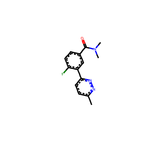 Cc1ccc(-c2cc(C(=O)N(C)C)ccc2F)nn1